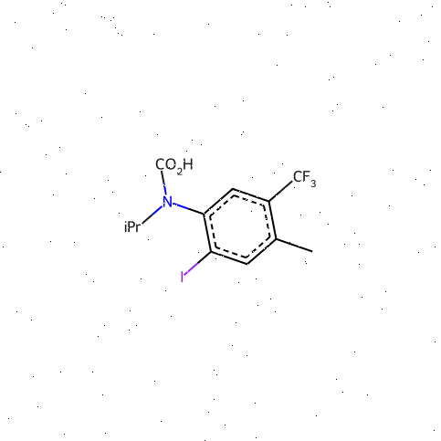 Cc1cc(I)c(N(C(=O)O)C(C)C)cc1C(F)(F)F